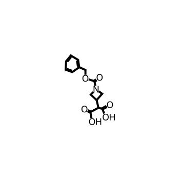 O=C(O)C(C(=O)O)C1CN(C(=O)OCc2ccccc2)C1